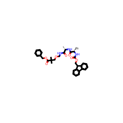 CC(C)[C@H](NC(=O)OCC1c2ccccc2-c2ccccc21)C(=O)N[C@@H](C)C(=O)NCOCC(C)(C)C(=O)OCc1ccccc1